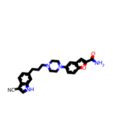 N#Cc1c[nH]c2cc(CCCN3CCN(c4ccc5oc(C(N)=O)cc5c4)CC3)ccc12